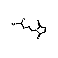 CC(C)OCCN1C(=O)CCC1=O